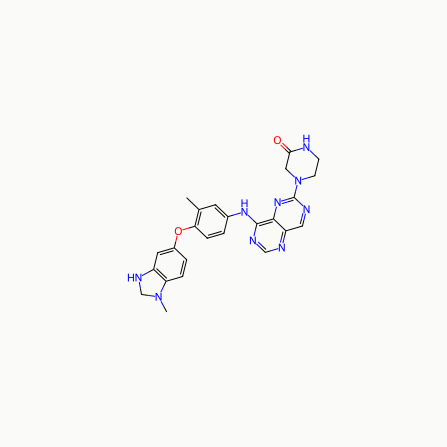 Cc1cc(Nc2ncnc3cnc(N4CCNC(=O)C4)nc23)ccc1Oc1ccc2c(c1)NCN2C